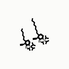 C#Cc1c(CCCCCC)ccc([Si](C(C)C)(C(C)C)C(C)C)c1Br.C#Cc1c(CCCCCCCC)ccc([Si](C(C)C)(C(C)C)C(C)C)c1Br